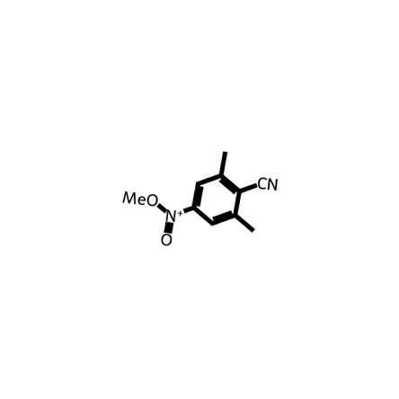 CO[N+](=O)c1cc(C)c(C#N)c(C)c1